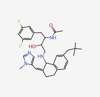 CC(=O)NC(Cc1cc(F)cc(F)c1)C(O)CNC1/C(=C\c2cncn2C)CCc2ccc(CC(C)(C)C)cc21